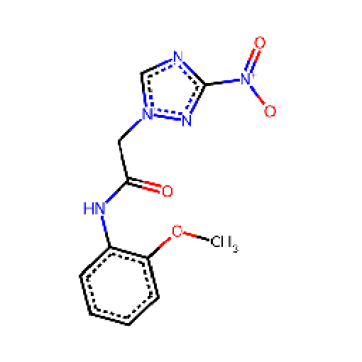 COc1ccccc1NC(=O)Cn1cnc([N+](=O)[O-])n1